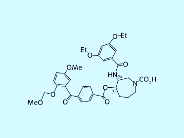 CCOc1cc(OCC)cc(C(=O)N[C@@H]2CN(C(=O)O)CCC[C@H]2OC(=O)c2ccc(C(=O)c3cc(OC)ccc3OCOC)cc2)c1